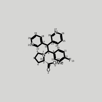 COC(=O)[C@@H]1CCCN1C(c1ccc(F)cc1)C(c1cccnc1)c1cccnc1